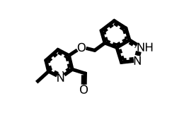 Cc1ccc(OCc2cccc3[nH]ncc23)c(C=O)n1